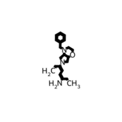 C=C/C(=C\C=C(\N)CC)N1CC2OCCN(Cc3ccccc3)C2C1